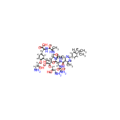 Cc1nc(-c2ccc(C(C)(C)C)cc2)nc(C)c1C(=O)N[C@@H](CNS(N)(=O)=O)C(=O)N(C)[C@@H]1C(=O)N[C@@H](C)C(=O)N[C@H](C(=O)O)Cc2ccc(OC[C@H](O)CN)c(c2)-c2cc1cc(OC[C@H](O)CN)c2O